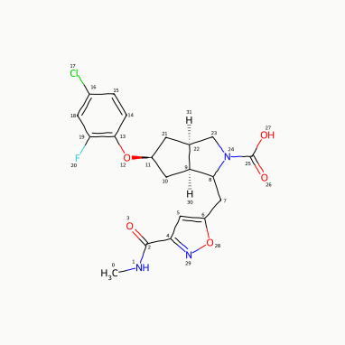 CNC(=O)c1cc(CC2[C@H]3C[C@@H](Oc4ccc(Cl)cc4F)C[C@H]3CN2C(=O)O)on1